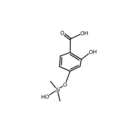 C[Si](C)(O)Oc1ccc(C(=O)O)c(O)c1